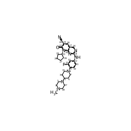 CN1CCN(C2CCN(c3ccc(Nc4ncc5cc(C#N)c(=O)n(C6CCCC6)c5n4)cc3F)CC2)CC1